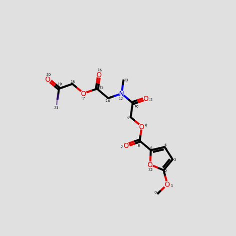 COc1ccc(C(=O)OCC(=O)N(C)CC(=O)OCC(=O)I)o1